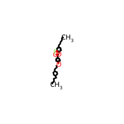 CCCCCCc1ccc(OC(=O)c2ccc(OCCCC3CCC(CCCCC)CC3)cc2)c(F)c1